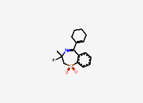 CC(C)C1(C)CS(=O)(=O)c2ccccc2C(C2=CCCCC2)=N1